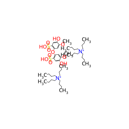 CCCC[N+](CCCC)(CCCC)CCCC.CCCC[N+](CCCC)(CCCC)CCCC.COc1cc(Oc2cc(OC)c(O)cc2S(=O)(=O)O)c(S(=O)(=O)O)cc1O